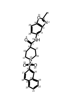 Cc1nc2cc(NC(=O)C3CCN(S(=O)(=O)c4ccc5ccccc5c4)CC3)ccc2o1